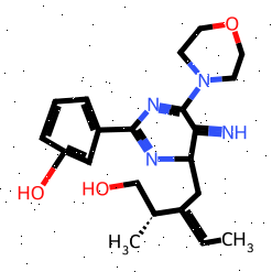 C/C=C(\CC1N=C(c2cccc(O)c2)N=C(N2CCOCC2)C1=N)[C@H](C)CO